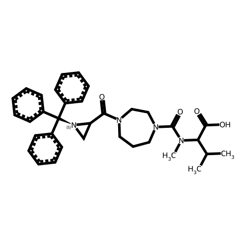 CC(C)C(C(=O)O)N(C)C(=O)N1CCCN(C(=O)C2C[N@@]2C(c2ccccc2)(c2ccccc2)c2ccccc2)CC1